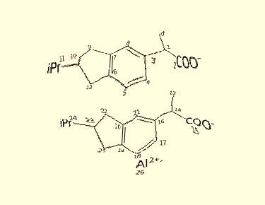 CC(C(=O)[O-])c1ccc2c(c1)CC(C(C)C)C2.CC(C(=O)[O-])c1ccc2c(c1)CC(C(C)C)C2.[Al+2]